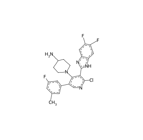 Cc1cc(F)cc(-c2cnc(Cl)c(-c3nc4cc(F)c(F)cc4[nH]3)c2N2CCC(N)CC2)c1